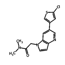 CN(C)C(=O)Cn1ccc2ncc(-c3csc(Cl)c3)cc21